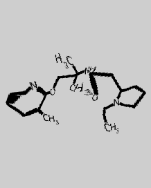 CCN1CCCC1CC(=O)NC(C)(C)COc1ncccc1C